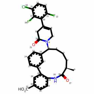 C[C@@H]1CCC[C@H](N2CC=C(c3c(F)ccc(Cl)c3F)CC2=O)c2cccc(c2)-c2cc(C(=O)O)ccc2NC1=O